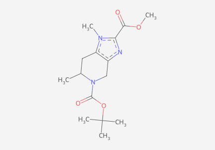 COC(=O)c1nc2c(n1C)CC(C)N(C(=O)OC(C)(C)C)C2